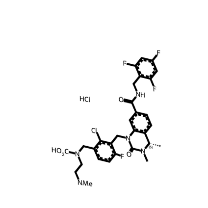 CNCCN(Cc1ccc(F)c(CN2C(=O)N(C)[C@@H](C)c3ccc(C(=O)NCc4c(F)cc(F)cc4F)cc32)c1Cl)C(=O)O.Cl